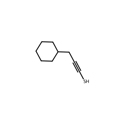 SC#CCC1CCCCC1